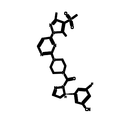 Cc1nn(-c2ccnc(N3CCN(C(=O)N4N=CC[C@H]4c4cc(F)cc(C#N)c4)CC3)n2)c(C)c1S(C)(=O)=O